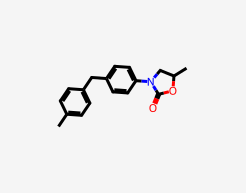 Cc1ccc(Cc2ccc(N3CC(C)OC3=O)cc2)cc1